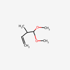 C=CC(C)C(OC)OC